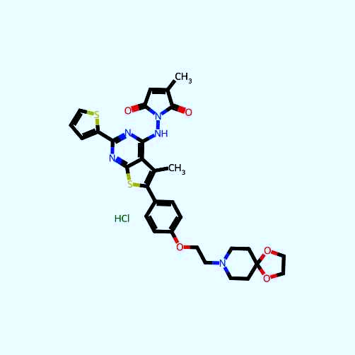 CC1=CC(=O)N(Nc2nc(-c3cccs3)nc3sc(-c4ccc(OCCN5CCC6(CC5)OCCO6)cc4)c(C)c23)C1=O.Cl